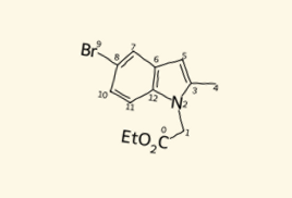 CCOC(=O)Cn1c(C)cc2cc(Br)ccc21